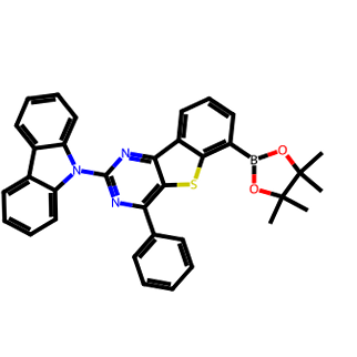 CC1(C)OB(c2cccc3c2sc2c(-c4ccccc4)nc(-n4c5ccccc5c5ccccc54)nc23)OC1(C)C